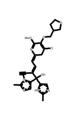 C#C/C(=C\C=C1/CC(Cl)=C(OCC2CCOC2)C(OC)=N1)C(O)(c1cnc(C)[nH]1)c1cnc(C)n1C